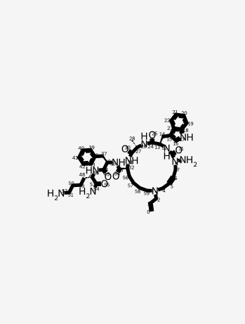 C=CCN1CC#CCN(N)C(=O)N[C@H](Cc2c[nH]c3ccccc23)C(=O)N[C@@H](C)C(=O)N[C@H](C(=O)N[C@H](Cc2ccccc2)C(=O)N[C@@H](CCCCN)C(N)=O)CCCC1